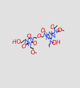 CCN(O)c1nc(N(COC)COCCn2c(=O)n(CCO)c(=O)n(CCOC)c2=O)nc(N(COC)C(C)=O)n1